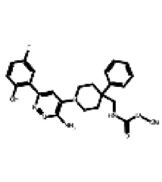 CC(C)(C)OC(=O)NCC1(c2ccccc2)CCN(c2cc(-c3cc(F)ccc3O)nnc2N)CC1